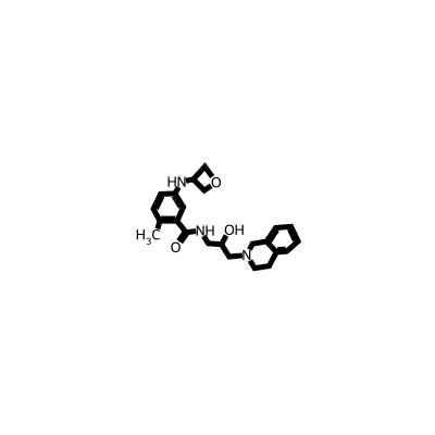 Cc1ccc(NC2COC2)cc1C(=O)NCC(O)CN1CCc2ccccc2C1